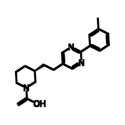 C=C(O)N1CCC[C@@H](CCc2cnc(-c3cccc(C)c3)nc2)C1